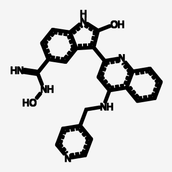 N=C(NO)c1ccc2[nH]c(O)c(-c3cc(NCc4ccncc4)c4ccccc4n3)c2c1